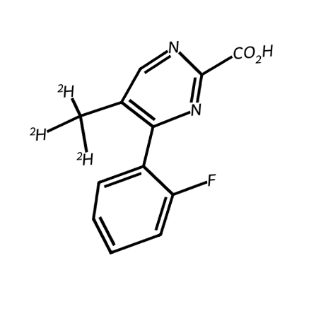 [2H]C([2H])([2H])c1cnc(C(=O)O)nc1-c1ccccc1F